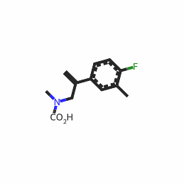 C=C(CN(C)C(=O)O)c1ccc(F)c(C)c1